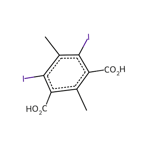 Cc1c(I)c(C(=O)O)c(C)c(C(=O)O)c1I